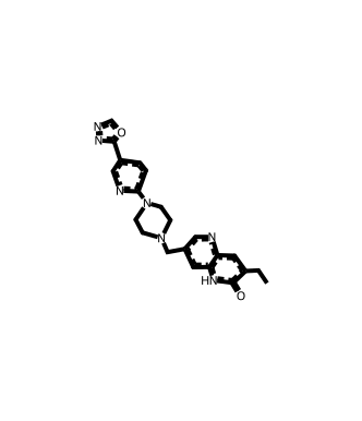 CCc1cc2ncc(CN3CCN(c4ccc(-c5nnco5)cn4)CC3)cc2[nH]c1=O